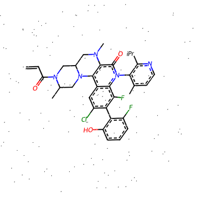 C=CC(=O)N1CC2CN(C)c3c(c4cc(Cl)c(-c5c(O)cccc5F)c(F)c4n(-c4c(C)ccnc4C(C)C)c3=O)N2CC1C